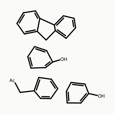 CC(=O)Cc1ccccc1.Oc1ccccc1.Oc1ccccc1.c1ccc2c(c1)Cc1ccccc1-2